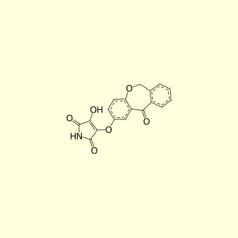 O=C1NC(=O)C(Oc2ccc3c(c2)C(=O)c2ccccc2CO3)=C1O